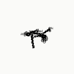 COCCOCCOCC[N+]1=C(/C=C/C=C/C=C2/N(CCCCCC(=O)O)c3ccc(S(=O)(=O)[O-])cc3C2(C)CCOC)C(C)(CCCS(=O)(=O)O)c2cc(S(=O)(=O)O)ccc21